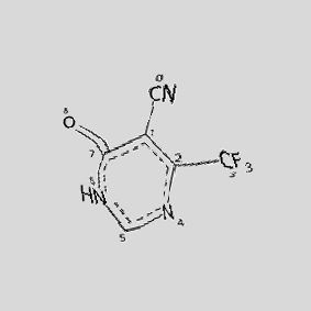 N#Cc1c(C(F)(F)F)nc[nH]c1=O